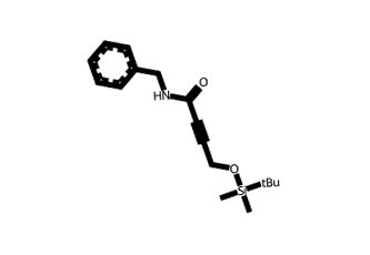 CC(C)(C)[Si](C)(C)OCC#CC(=O)NCc1ccccc1